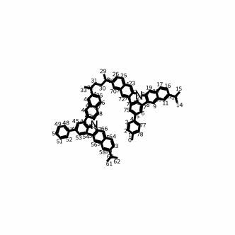 Cc1ccc(-c2cc3c4cc5cc(C(C)C)ccc5cc4n4c5cc6ccc(C(C)CCC(C)c7ccc8cc9c(cc8c7)c7cc(-c8ccccc8)cc8c%10cc%11cc(C(C)C)ccc%11cc%10n9c87)cc6cc5c(c2)c34)cc1